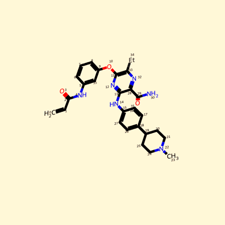 C=CC(=O)Nc1cccc(Oc2nc(Nc3ccc(C4CCN(C)CC4)cc3)c(C(N)=O)nc2CC)c1